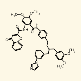 COc1ccc(CN(CCc2ccc(NC(=O)c3cc(OC)c(OC)cc3NC(=O)c3cc(=O)c4ccccc4o3)cc2)Cc2cccc(-n3ccnc3)c2)cc1OC